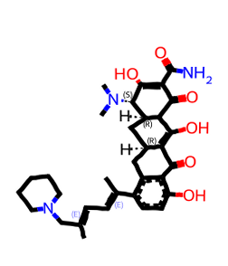 C/C(=C\C=C(/C)c1ccc(O)c2c1C[C@H]1C[C@@H]3C(C(=O)C(C(N)=O)=C(O)[C@H]3N(C)C)C(O)=C1C2=O)CN1CCCCC1